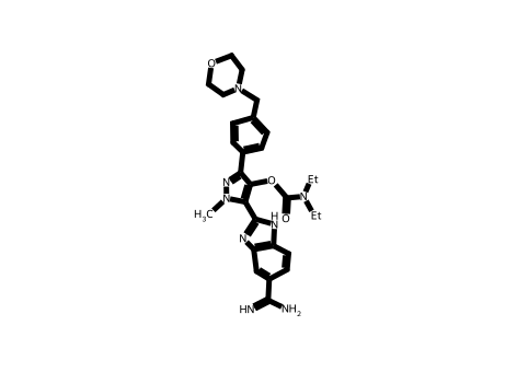 CCN(CC)C(=O)Oc1c(-c2ccc(CN3CCOCC3)cc2)nn(C)c1-c1nc2cc(C(=N)N)ccc2[nH]1